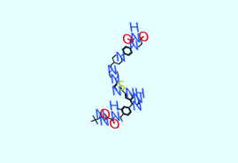 Cc1cc(-c2ncnc3[nH]c(-c4ncc(N5CCN(CC6CCN(c7ccc(N8CCC(=O)NC8=O)cc7)CC6)CC5)s4)cc23)ccc1C(C)NC(=O)c1nc(C(C)(C)C)no1